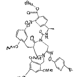 COc1cc(OC)c(CN2C[C@@H](Cc3cc(Cl)ccc3OC)C(=O)N(C(=O)N[C@H](C)c3ccc(C(=O)OC(C)(C)C)c([N+](=O)[O-])c3)C/C2=N/Oc2ccc(F)cc2)c(OC)c1